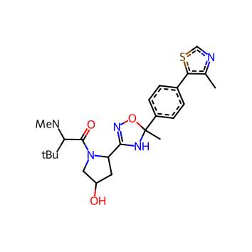 CNC(C(=O)N1CC(O)CC1C1=NOC(C)(c2ccc(-c3scnc3C)cc2)N1)C(C)(C)C